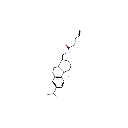 C=CCCC(=O)NC[C@]1(C)CCC[C@]2(C)c3ccc(C(C)C)cc3CC[C@@H]12